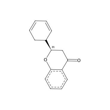 O=C1C[C@H](C2C=CC=CC2)Oc2ccccc21